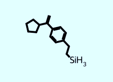 C=C(c1ccc(CC[SiH3])cc1)C1CCCC1